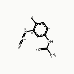 Cc1ccc(NC(N)=O)cc1N=C=O